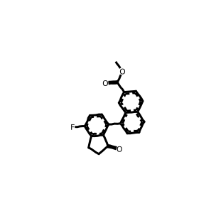 COC(=O)c1ccc2cccc(-c3ccc(F)c4c3C(=O)CC4)c2c1